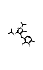 Cc1ccc(Cc2c(OC(C)C)nn(C(C)C)c2C)c(F)c1F